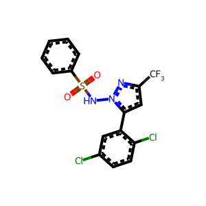 O=S(=O)(Nn1nc(C(F)(F)F)cc1-c1cc(Cl)ccc1Cl)c1ccccc1